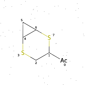 CC(=O)C1CSC2CC2S1